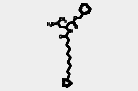 CN(C)CC(CC(=O)OCc1ccccc1)NC(=O)CCCCCCCCCc1ccsc1